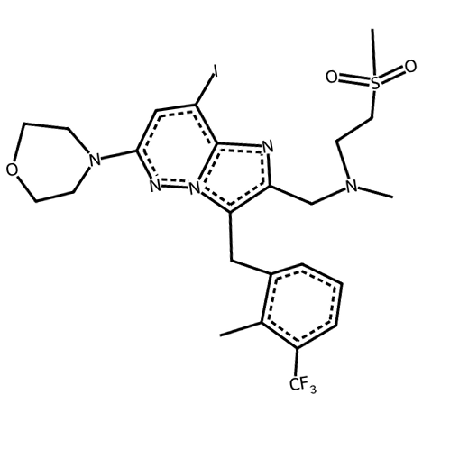 Cc1c(Cc2c(CN(C)CCS(C)(=O)=O)nc3c(I)cc(N4CCOCC4)nn23)cccc1C(F)(F)F